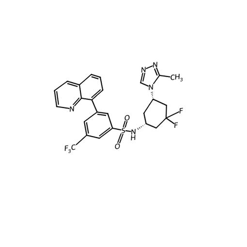 Cc1nncn1[C@H]1C[C@@H](NS(=O)(=O)c2cc(-c3cccc4cccnc34)cc(C(F)(F)F)c2)CC(F)(F)C1